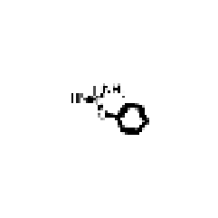 N=[PH](N)Oc1ccccc1